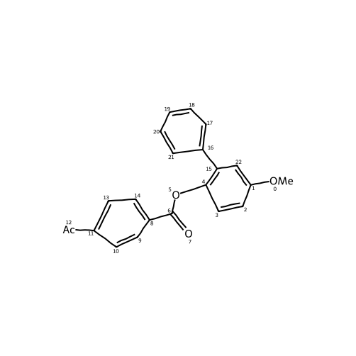 COc1ccc(OC(=O)c2ccc(C(C)=O)cc2)c(-c2ccccc2)c1